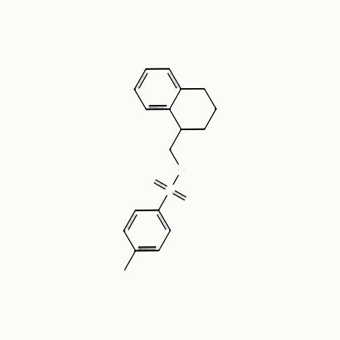 Cc1ccc(S(=O)(=O)OCC2CCCc3ccccc32)cc1